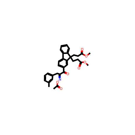 COC(=O)CCC1(CCC(=O)OC)c2ccccc2-c2ccc(C(=O)/C(Cc3cccc(C)c3)=N/OC(C)=O)cc21